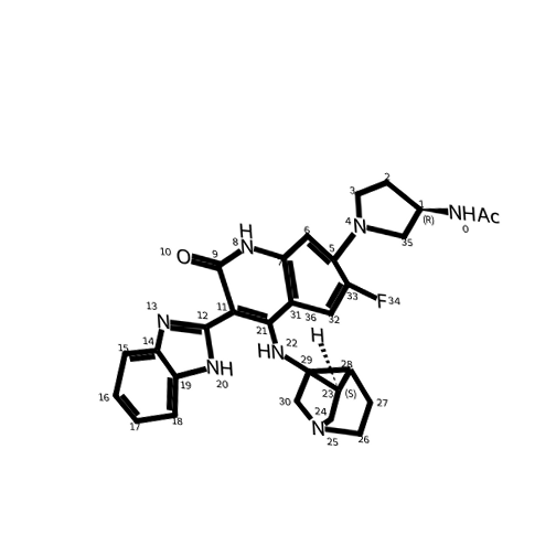 CC(=O)N[C@@H]1CCN(c2cc3[nH]c(=O)c(-c4nc5ccccc5[nH]4)c(N[C@@H]4CN5CCC4CC5)c3cc2F)C1